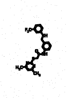 Cc1cc(C)nc(SCC(=O)Nc2cccc(CNc3cccc(C(F)(F)F)c3)c2)n1